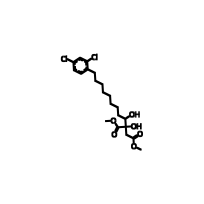 COC(=O)CC(O)(C(=O)OC)C(O)CCCCCCCCc1ccc(Cl)cc1Cl